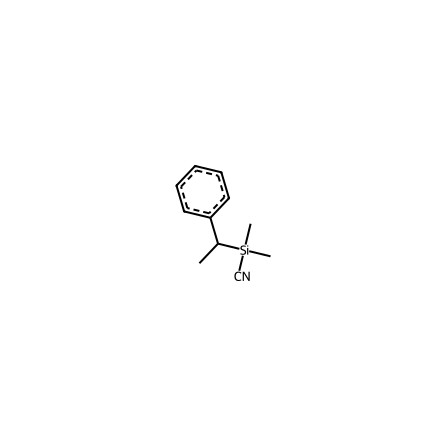 CC(c1ccccc1)[Si](C)(C)C#N